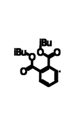 CCC(C)OC(=O)c1[c]cccc1C(=O)OC(C)CC